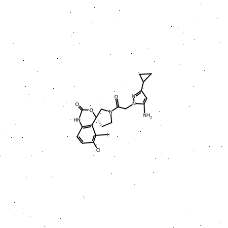 Nc1cc(C2CC2)nn1CC(=O)N1CC[C@@]2(C1)OC(=O)Nc1ccc(Cl)c(F)c12